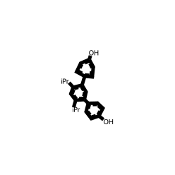 CC(C)c1cc(C(C)C)c(-c2ccc(O)cc2)cc1-c1ccc(O)cc1